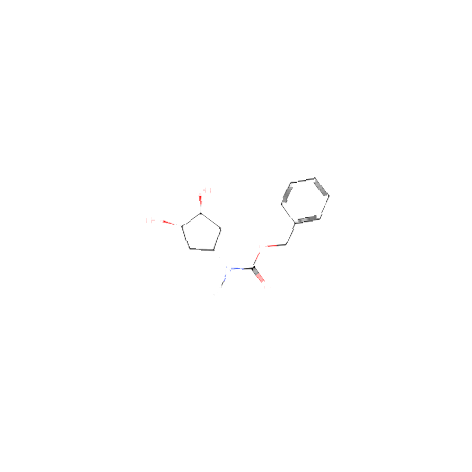 CN(C(=O)OCc1ccccc1)[C@@H]1C[C@@H](O)[C@@H](O)C1